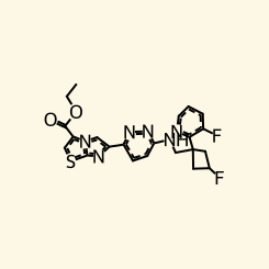 CCOC(=O)c1csc2nc(-c3ccc(NCC4(c5ncccc5F)CC(F)C4)nn3)cn12